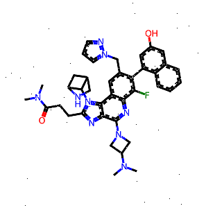 CN(C)C(=O)CCc1nc2c(N3CC(N(C)C)C3)nc3c(F)c(-c4cc(O)cc5ccccc45)c(Cn4cccn4)cc3c2n1C1C2CNC1C2